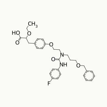 CCOC(Cc1ccc(OCCN(CCCOCc2ccccc2)C(=O)Nc2ccc(F)cc2)cc1)C(=O)O